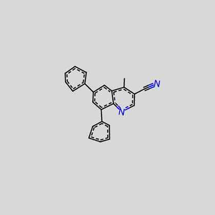 Cc1c(C#N)cnc2c(-c3ccccc3)cc(-c3ccccc3)cc12